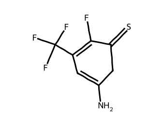 NC1=CC(C(F)(F)F)=C(F)C(=S)C1